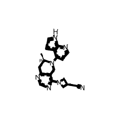 C[C@@H]1Cc2ncnc(N3CC(C#N)C3)c2CN1c1ccnc2[nH]ccc12